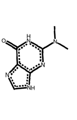 CN(C)c1nc2[nH]cnc2c(=O)[nH]1